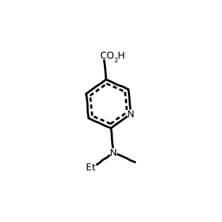 CCN(C)c1ccc(C(=O)O)cn1